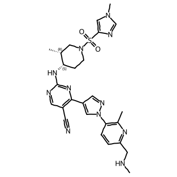 CNCc1ccc(-n2cc(-c3nc(N[C@H]4CCN(S(=O)(=O)c5cn(C)cn5)C[C@H]4C)ncc3C#N)cn2)c(C)n1